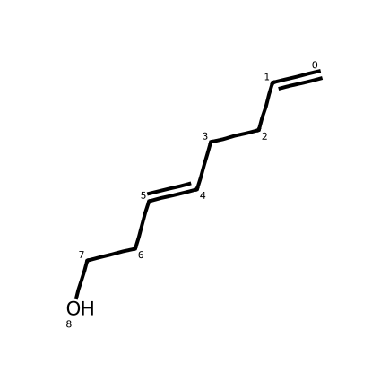 C=CCC/C=C/CCO